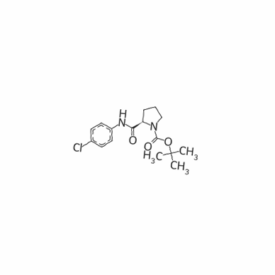 CC(C)(C)OC(=O)N1CCC[C@@H]1C(=O)Nc1ccc(Cl)cc1